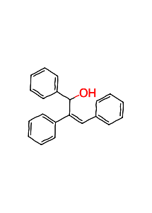 OC(C(=Cc1ccccc1)c1ccccc1)c1ccccc1